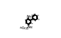 CCCCCCCCNc1ccc(N)c(-c2ccccc2)c1